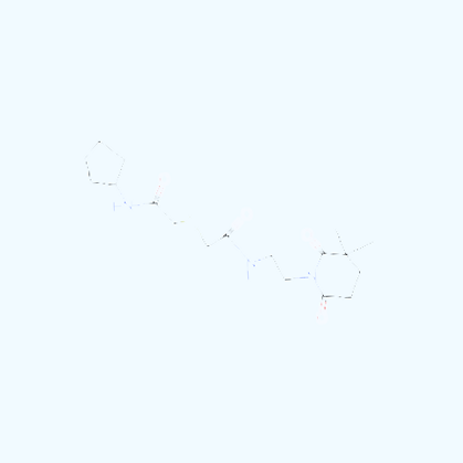 CC1(C)CCC(=O)N(CCNC(=O)CSCC(=O)NC2CCCC2)C1=O